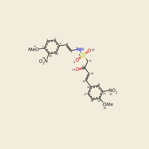 COc1ccc(C=CNS(=O)(=O)CC(=O)C=Cc2ccc(OC)c([N+](=O)[O-])c2)cc1[N+](=O)[O-]